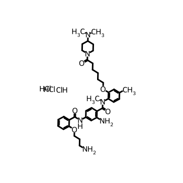 Cc1ccc(N(C)C(=O)c2ccc(NC(=O)c3ccccc3OCCCN)cc2N)c(OCCCCCC(=O)N2CCC(N(C)C)CC2)c1.Cl.Cl.Cl